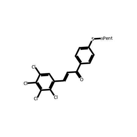 CCCCCSc1ccc(C(=O)/C=C/c2cc(Cl)c(Cl)c(Cl)c2Cl)cc1